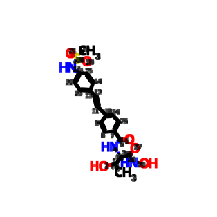 C[C@@H](O)[C@H](NC(=O)c1ccc(C#Cc2ccc(NS(C)(=O)=O)cc2)cc1)C(=O)NO